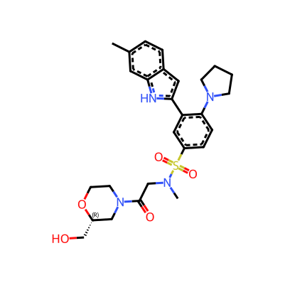 Cc1ccc2cc(-c3cc(S(=O)(=O)N(C)CC(=O)N4CCO[C@@H](CO)C4)ccc3N3CCCC3)[nH]c2c1